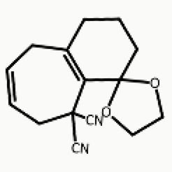 N#CC1(C#N)CC=CCC2=C1C1(CCC2)OCCO1